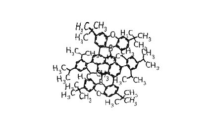 CC(C)c1cc(C(C)C)c(-c2cc3c4c(cc5c(-c6c(C(C)C)cc(C(C)C)cc6C(C)C)cc6c7c(cc2c4c57)B2c4ccc(C(C)(C)C)cc4Oc4cc(C(C)(C)C)cc-6c42)B2c4ccc(C(C)(C)C)cc4Oc4cc(C(C)(C)C)cc-3c42)c(C(C)C)c1